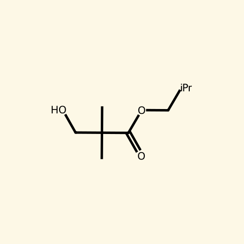 CC(C)COC(=O)C(C)(C)CO